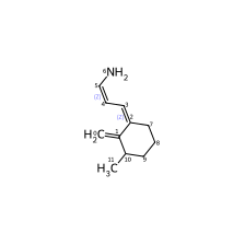 C=C1/C(=C\C=C/N)CCCC1C